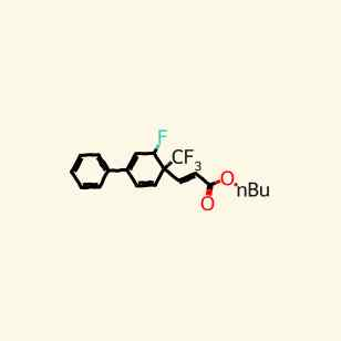 CCCCOC(=O)/C=C/C1(C(F)(F)F)C=CC(c2ccccc2)=CC1F